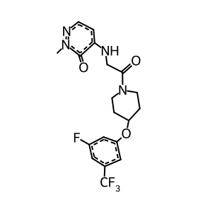 Cn1nccc(NCC(=O)N2CCC(Oc3cc(F)cc(C(F)(F)F)c3)CC2)c1=O